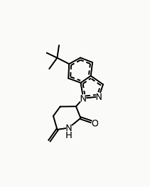 C=C1CCC(n2ncc3ccc(C(C)(C)C)cc32)C(=O)N1